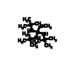 C=C[Si](N[Si](C)(C)C)(N[Si](C)(C)C)N[Si](C)(C)C